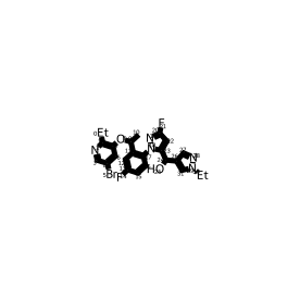 CCc1ncc(Br)cc1OC(C)c1cc(F)ccc1-n1nc(F)cc1C(O)c1cnn(CC)c1